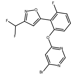 Fc1cccc(Oc2cc(Br)ncn2)c1-c1cc(C(F)F)no1